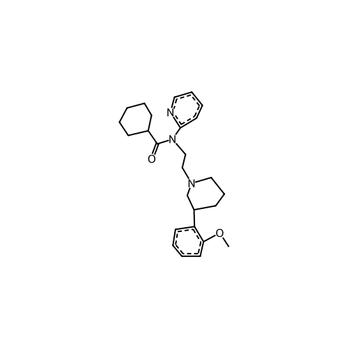 COc1ccccc1C1CCCN(CCN(C(=O)C2CCCCC2)c2ccccn2)C1